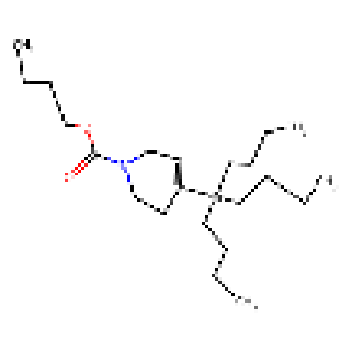 CCCCOC(=O)N1CC=[C]([Sn]([CH2]CCC)([CH2]CCC)[CH2]CCC)CC1